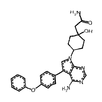 NC(=O)CC1(O)CCC(n2cc(-c3ccc(Oc4ccccc4)cc3)c3c(N)ncnc32)CC1